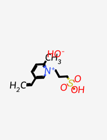 C=Cc1ccc(C)[n+](CCCS(=O)(=O)O)c1.[OH-]